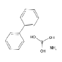 N.OB(O)O.c1ccc(-c2ccccc2)cc1